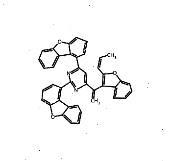 C=C(c1cc(-c2cccc3oc4ccccc4c23)nc(-c2cccc3oc4ccccc4c23)n1)c1c(/C=C\C)oc2ccccc12